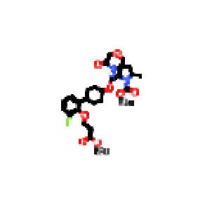 C[C@@H]1CC2(COCC(=O)N2)C(COC2CCC(c3cccc(F)c3OCCC(=O)OC(C)(C)C)CC2)N1C(=O)OC(C)(C)C